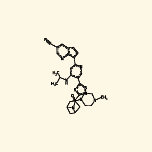 CC(C)Nc1cc(-c2ccc3cc(C#N)cnn23)ncc1-c1nnc(N2CC3CC(C2)N3C(=O)N2CCN(C)CC2)s1